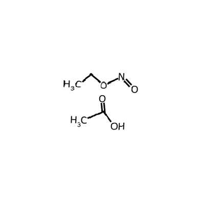 CC(=O)O.CCON=O